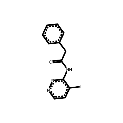 O=C(Cc1ccccc1)Nc1nnccc1I